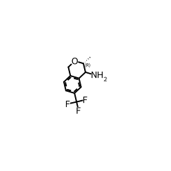 C[C@H]1OCc2ccc(C(F)(F)F)cc2C1N